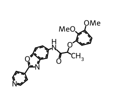 COc1cccc(OC(C)C(=O)Nc2ccc3oc(-c4ccncc4)nc3c2)c1OC